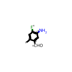 Cc1cc(F)c(N)cc1C=O